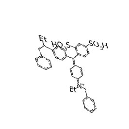 CCC(Cc1ccccc1)c1ccc(C(=C2C=CC(=[N+](CC)Cc3ccccc3)C=C2)c2ccc(S(=O)(=O)O)cc2S(=O)(=O)O)cc1